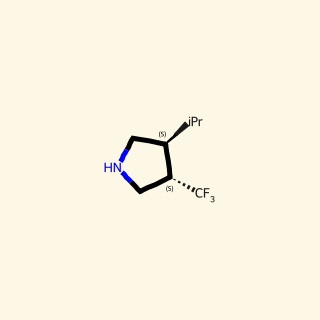 CC(C)[C@@H]1CNC[C@H]1C(F)(F)F